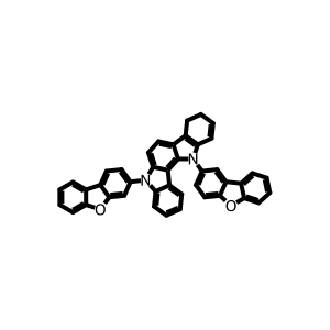 C1=Cc2c(c3ccc4c(c5ccccc5n4-c4ccc5c(c4)oc4ccccc45)c3n2-c2ccc3oc4ccccc4c3c2)CC1